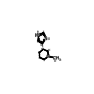 CN1CCC[C@H](c2c[nH]cn2)C1